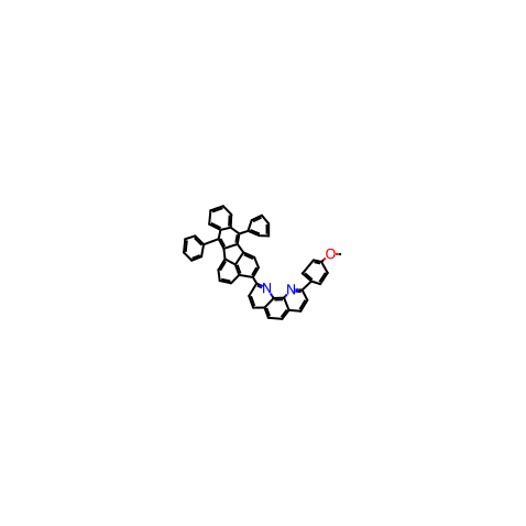 COc1ccc(-c2ccc3ccc4ccc(-c5ccc6c7c(cccc57)-c5c-6c(-c6ccccc6)c6ccccc6c5-c5ccccc5)nc4c3n2)cc1